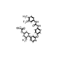 Cc1ccc(NC(=O)Nc2ccc(Oc3cc(N4CCN(OC(=O)C(C)(C)C)CC4C)ncn3)cc2)cc1C(F)(F)F